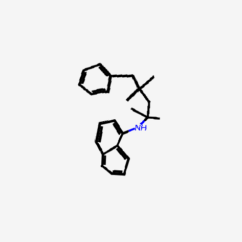 CC(C)(Cc1ccccc1)CC(C)(C)Nc1cccc2ccccc12